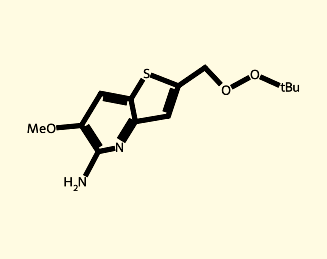 COc1cc2sc(COOC(C)(C)C)cc2nc1N